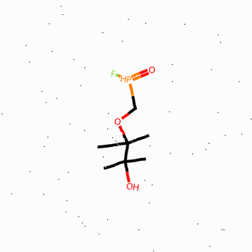 CC(C)(O)C(C)(C)OC[PH](=O)F